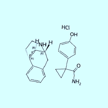 Cl.NC(=O)C1(c2ccc(O)cc2)CC1.c1ccc2c(c1)C[C@H]1NCC[C@@]23CCCC[C@@H]13